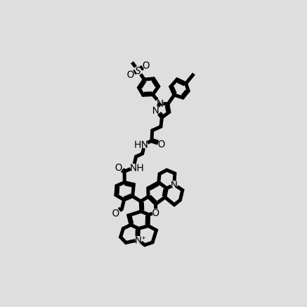 Cc1ccc(-c2cc(CCC(=O)NCCNC(=O)c3ccc(C=O)c(C4=c5cc6c7c(c5Oc5c4cc4c8c5CCCN8CCC4)CCC[N+]=7CCC6)c3)nn2-c2ccc(S(C)(=O)=O)cc2)cc1